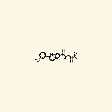 COc1cccc(-c2ccc3nc(NC(=O)CNC(C)=O)cn3n2)c1